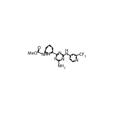 COC(=O)Nc1cccc(-c2nc(N)nc(Nc3ccnc(C(F)(F)F)c3)n2)n1